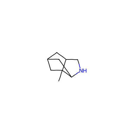 CC12CC3CC1CNC2C3